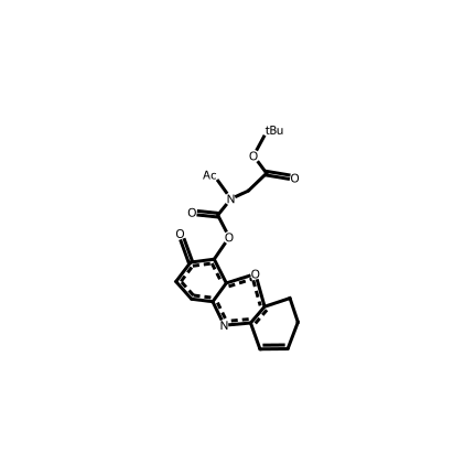 CC(=O)N(CC(=O)OC(C)(C)C)C(=O)Oc1c2oc3c(nc-2ccc1=O)C=CCC3